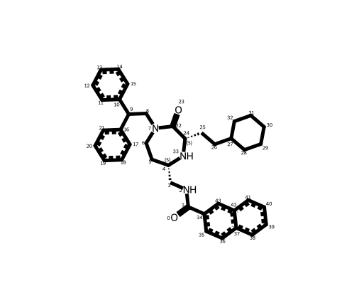 O=C(NC[C@@H]1CCN(CC(c2ccccc2)c2ccccc2)C(=O)[C@H](CCC2CCCCC2)N1)c1ccc2ccccc2c1